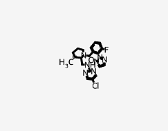 C[C@@H]1CCCN(C(=O)c2cccc(F)c2-n2nccn2)C1CNc1ncc(Cl)cn1